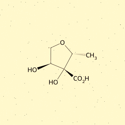 C[C@H]1O[CH][C@H](O)[C@]1(O)C(=O)O